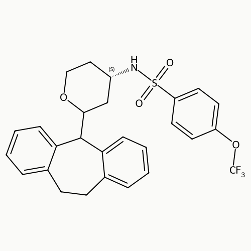 O=S(=O)(N[C@H]1CCOC(C2c3ccccc3CCc3ccccc32)C1)c1ccc(OC(F)(F)F)cc1